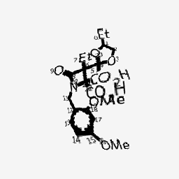 CCC1COC(C)(C2(CC)C(=O)N(Cc3ccc(OC)cc3OC)C2(C(=O)O)C(=O)O)O1